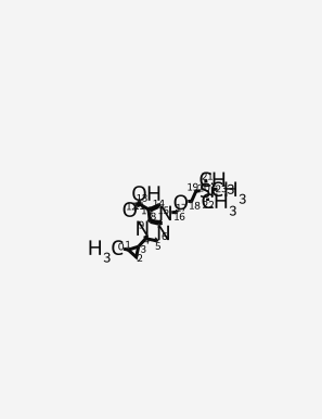 CC1CC1c1cnc2c(n1)c(C(=O)O)cn2COCC[Si](C)(C)C